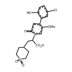 COc1cn(C(CC2CCS(=O)(=O)CC2)C(=O)O)c(=O)cc1-c1cc(Cl)ccc1C#N